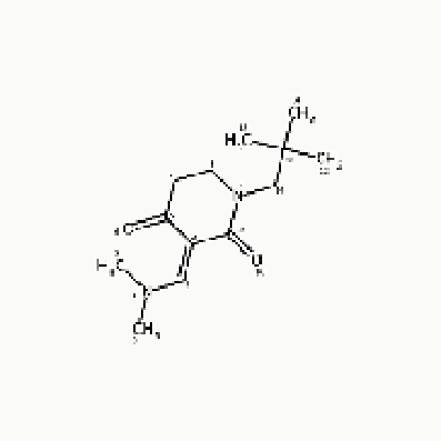 CN(C)/C=C1\C(=O)CCN(CC(C)(C)C)C1=O